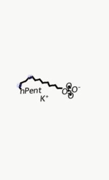 CCCCC/C=C\C/C=C\CCCCCCCCOS(=O)(=O)[O-].[K+]